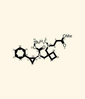 COC(=O)CCN(C)CC1(CN(C(=O)OC(C)(C)C)[C@H]2CC2c2ccccc2)CCC1